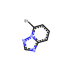 CCc1cccc2ncnn12